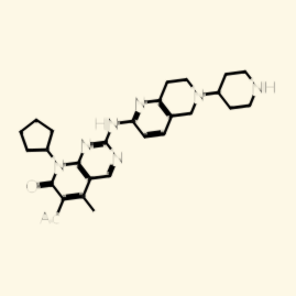 CC(=O)c1c(C)c2cnc(Nc3ccc4c(n3)CCN(C3CCNCC3)C4)nc2n(C2CCCC2)c1=O